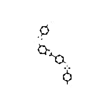 COc1ccc(S(=O)(=O)Nc2ccc(-c3nc4cc(NS(=O)(=O)c5ccc(OC)cc5)ccc4o3)cc2)cc1